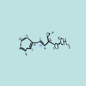 COC(=O)/C=C/c1c[c]ccc1